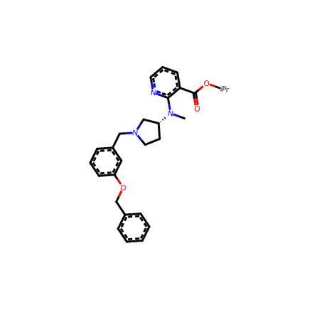 CC(C)OC(=O)c1cccnc1N(C)[C@@H]1CCN(Cc2cccc(OCc3ccccc3)c2)C1